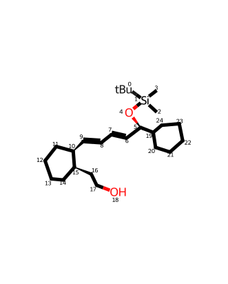 CC(C)(C)[Si](C)(C)O[C@H](/C=C/C=C/[C@@H]1CCCC[C@@H]1CCO)C1CCCCC1